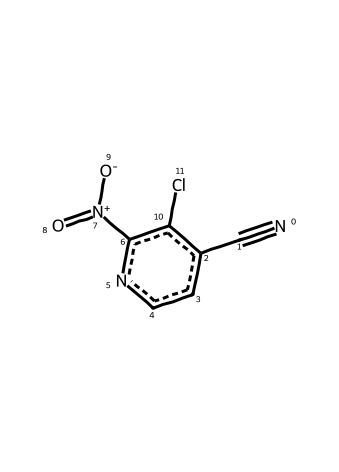 N#Cc1ccnc([N+](=O)[O-])c1Cl